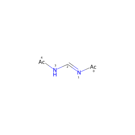 CC(=O)N=CNC(C)=O